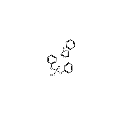 O=P(O)(Oc1ccccc1)Oc1ccccc1.c1c[nH]nn1.c1ccccc1